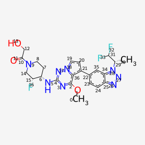 COc1nc(N[C@H]2CCN(C(=O)CO)C[C@H]2F)nn2ccc(-c3ccc4nnn([C@@H](C)C(F)F)c4c3)c12